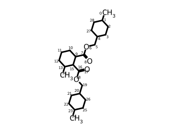 CC1CCC(COC(=O)C2CCCC(C)C2C(=O)OCC2CCC(C)CC2)CC1